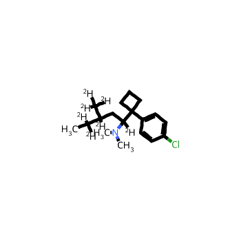 [2H]C([2H])([2H])C([2H])(CC([2H])(N(C)C)C1(c2ccc(Cl)cc2)CCC1)C([2H])([2H])C